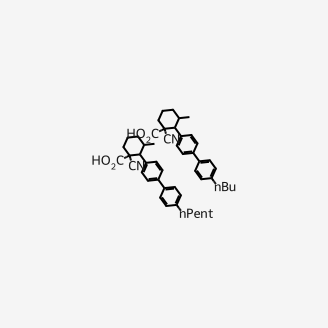 CCCCCc1ccc(-c2ccc(C3C(C)CCCC3(C#N)C(=O)O)cc2)cc1.CCCCc1ccc(-c2ccc(C3C(C)CCCC3(C#N)C(=O)O)cc2)cc1